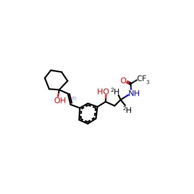 [2H]C([2H])(CC(O)c1cccc(/C=C/C2(O)CCCCC2)c1)NC(=O)C(F)(F)F